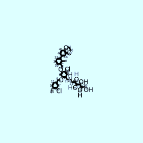 Cc1c(COc2cc(OCc3ccc(F)c(Cl)c3)c(CNC[C@H](O)[C@@H](O)[C@H](O)[C@H](O)CO)cc2Cl)cccc1-c1ccc2c(c1)OCCO2